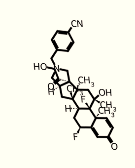 C[C@]12C[C@](C)(O)[C@@]3(F)[C@@H](C[C@H](F)C4=CC(=O)C=C[C@@]43C)[C@]1(C)C[C@H]1CN(Cc3ccc(C#N)cc3)C[C@]12C(=O)CO